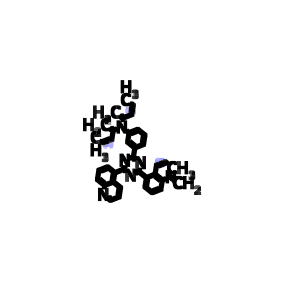 C=Nc1cccc(-c2nc(-c3cccc(N(C(=C)/C=C\C)C(=C)/C=C\C)c3)nc(-c3cccc4ncccc34)n2)c1/C=C\C